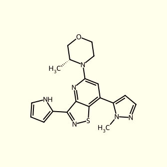 C[C@@H]1COCCN1c1cc(-c2ccnn2C)c2snc(-c3ccc[nH]3)c2n1